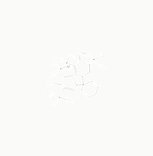 CC(C)(O)c1cc(C2(c3cc(C(C)(C)O)c(O)c(C(C)(C)O)c3)CCCCC2)cc(C(C)(C)O)c1O